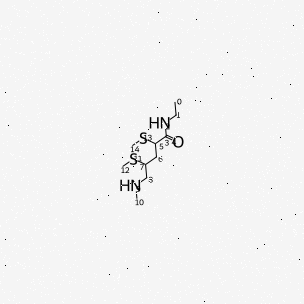 CCNC(=O)C(CC(CNC)SC)SC